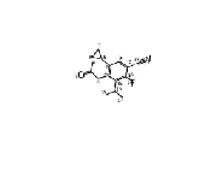 CC(=O)Cc1c(C2CC2)cc(C#N)c(F)c1C(C)C